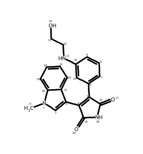 Cn1cc(C2=C(c3cccc(NCCO)c3)C(=O)NC2=O)c2ccccc21